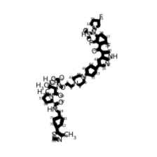 CC(=O)N(OCCN1CCN(c2ccc(-c3cnc4[nH]cc(C(=O)c5c(F)ccc(N(N6CC[C@@H](F)C6)[SH](=O)=O)c5F)c4c3)cc2)CC1)[C@H](C(=O)N1C[CH]C[C@H]1C(=O)NCc1ccc(-c2scnc2C)cc1)C(C)(C)C